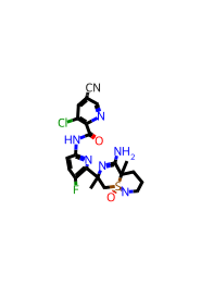 CC1(c2nc(NC(=O)c3ncc(C#N)cc3Cl)ccc2F)CS2(=O)=NCCCC2(C)C(N)=N1